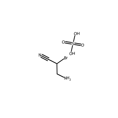 N#CC(Br)CN.O=S(=O)(O)O